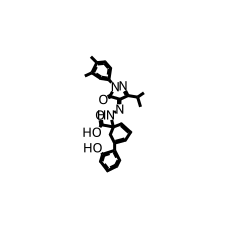 Cc1ccc(N2N=C(C(C)C)C(=NNC3(C(=O)O)C=CC=C(c4ccccc4O)C3)C2=O)cc1C